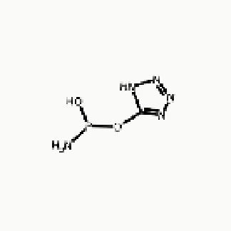 NP(O)Oc1nnn[nH]1